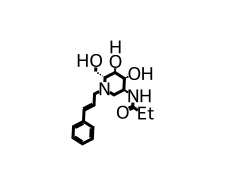 CCC(=O)N[C@H]1CN(C/C=C/c2ccccc2)[C@H](CO)[C@@H](O)[C@@H]1O